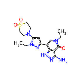 CCn1nc(-c2cn(CC)c(=O)c3c(N)n[nH]c23)cc1N1CCS(=O)(=O)CC1